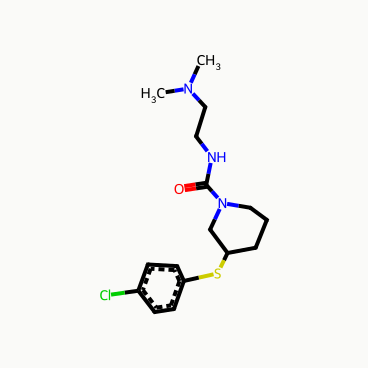 CN(C)CCNC(=O)N1CCCC(Sc2ccc(Cl)cc2)C1